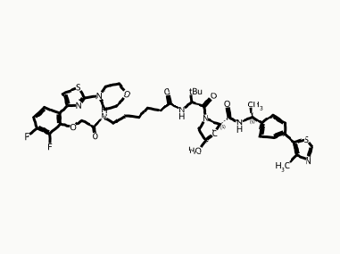 Cc1ncsc1-c1ccc([C@H](C)NC(=O)[C@@H]2CC(O)CN2C(=O)C(NC(=O)CCCCCNC(=O)COc2c(-c3csc(N4CCOCC4)n3)ccc(F)c2F)C(C)(C)C)cc1